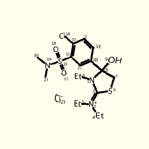 CCN1C(=[N+](CC)CC)SCC1(O)c1ccc(Cl)c(S(=O)(=O)N(C)C)c1.[Cl-]